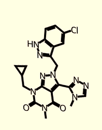 Cn1cnnc1-c1c2c(=O)n(C)c(=O)n(CC3CC3)c2nn1Cc1n[nH]c2ccc(Cl)cc12